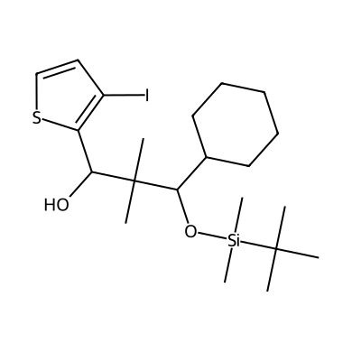 CC(C)(C(O)c1sccc1I)C(O[Si](C)(C)C(C)(C)C)C1CCCCC1